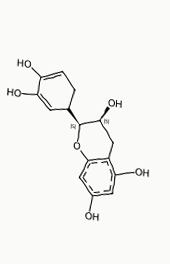 OC1=CCC([C@@H]2Oc3cc(O)cc(O)c3C[C@@H]2O)C=C1O